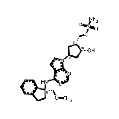 COC[C@]1(Nc2ncnc3c2ccn3[C@H]2C[C@H](COS(N)(=O)=O)[C@H](O)C2)CCc2ccccc21